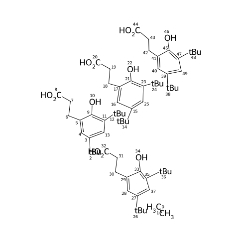 CC.CC(C)(C)c1cc(CCC(=O)O)c(O)c(C(C)(C)C)c1.CC(C)(C)c1cc(CCC(=O)O)c(O)c(C(C)(C)C)c1.CC(C)(C)c1cc(CCC(=O)O)c(O)c(C(C)(C)C)c1.CC(C)(C)c1cc(CCC(=O)O)c(O)c(C(C)(C)C)c1